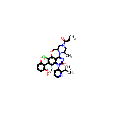 C=CC(=O)N1CC(C)N2c3nc(=O)n(-c4c(C)ccnc4C(C)C)c4c(F)c(-c5c(O)cccc5O)c(Cl)c(c34)OCC2C1